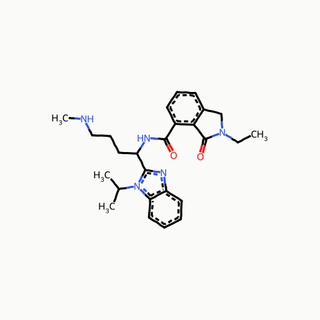 CCN1Cc2cccc(C(=O)NC(CCCNC)c3nc4ccccc4n3C(C)C)c2C1=O